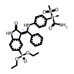 CCOP(=O)(OCC)c1ccc2c(c1)/C(=C(/Nc1ccc([N+](C)(C(N)=O)S(C)(=O)=O)cc1)c1ccccc1)C(=O)N2